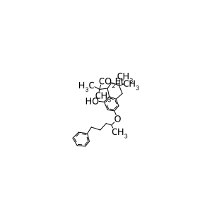 CCOC(=O)C(C)(C)C1CC(C)(C)Cc2cc(OC(C)CCCc3ccccc3)cc(O)c21